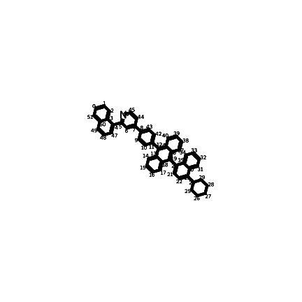 c1ccc2c(-c3cc(-c4ccc(-c5c6ccccc6c(-c6ccc(C7CCCCC7)c7ccccc67)c6ccccc56)cc4)ccn3)cccc2c1